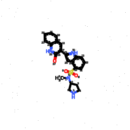 CN(C1CCNC1)S(=O)(=O)c1cccc2[nH]c(-c3cc4ccccc4[nH]c3=O)cc12